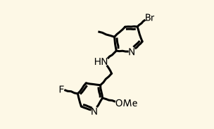 COc1ncc(F)cc1CNc1ncc(Br)cc1C